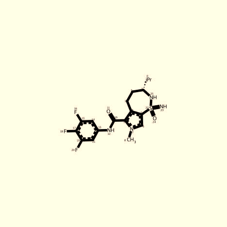 CC(C)[C@H]1CCc2c(cn(C)c2C(=O)Nc2cc(F)c(F)c(F)c2)S(=N)(=O)N1